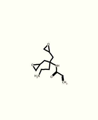 C=CC(=O)NC(CCN)(CC1CO1)CC1CO1